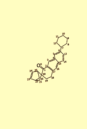 O=C1c2cc3cc(C4CCCCC4)ccc3cc2CCC12CC1C=CC2C1